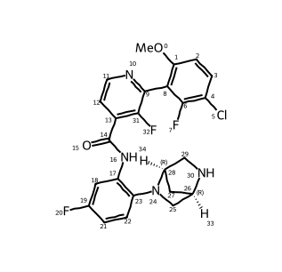 COc1ccc(Cl)c(F)c1-c1nccc(C(=O)Nc2cc(F)ccc2N2C[C@H]3C[C@@H]2CN3)c1F